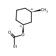 CCC(=O)O[C@H]1CCC[C@@H](C)C1